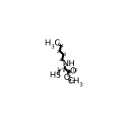 CCCCCN[C@@H](CS)C(=O)OC